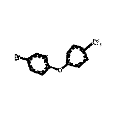 FC(F)(F)c1ccc(Oc2ccc(Br)cc2)cc1